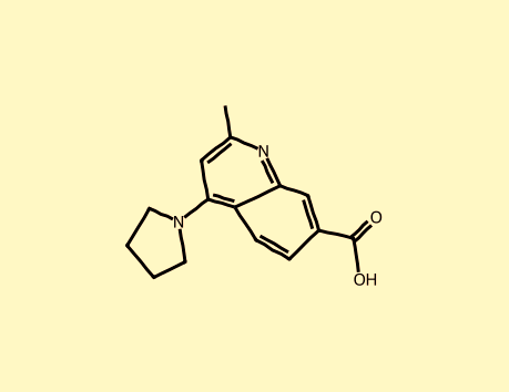 Cc1cc(N2CCCC2)c2ccc(C(=O)O)cc2n1